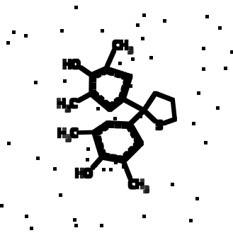 Cc1cc(C2(c3cc(C)c(O)c(C)c3)CCCS2)cc(C)c1O